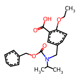 CCOc1ccc(CN(C(=O)OCc2ccccc2)C(C)C)cc1C(=O)O